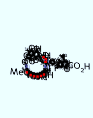 CO[C@H]1/C=C/O[C@@]2(C)Oc3c(C)c(O)c4c(c3C2=O)C(=O)C(N2CCC(NC3CCN(c5c(F)cn6c(=O)c(C(=O)O)cc(C7CC7)c6c5C)C3)CC2)=C(NC(=O)/C(C)=C\C=C\[C@H](C)[C@H](O)[C@@H](C)[C@@H](O)[C@@H](C)[C@H](OC(C)=O)[C@@H]1C)C4=O